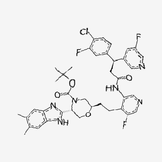 Cc1cc2nc([C@H]3CO[C@H](CCc4c(F)cncc4NC(=O)C[C@H](c4cncc(F)c4)c4ccc(Cl)c(F)c4)CN3C(=O)OC(C)(C)C)[nH]c2cc1C